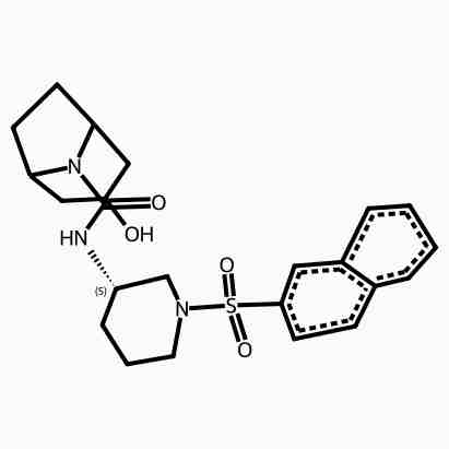 O=C(N[C@H]1CCCN(S(=O)(=O)c2ccc3ccccc3c2)C1)N1C2CCC1CC(O)C2